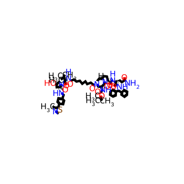 Cc1ncsc1-c1ccc(CNC(=O)[C@@H]2C[C@@H](O)CN2C(=O)[C@@H](NC(=O)CCCCCCCC(=O)N2CC[C@H]3CC[C@@H](C(=O)N[C@@H](CCC(N)=O)C(=O)NC(c4ccccc4)c4ccccc4)N3C(=O)[C@@H](NC(=O)OC(C)(C)C)C2)C(C)(C)C)cc1